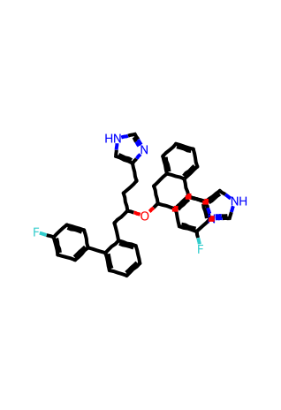 Fc1ccc(-c2ccccc2CC(CCc2c[nH]cn2)OC(CCc2c[nH]cn2)Cc2ccccc2-c2ccc(F)cc2)cc1